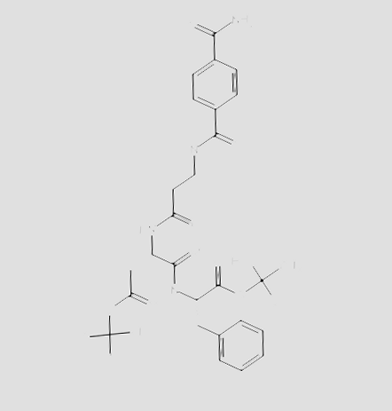 CC(C)(C)OC(=O)C[C@H](NC(=O)CCNC(=O)c1ccc(C(N)=S)cc1)C(=O)N[C@@H](Cc1ccccc1)C(=O)OC(C)(C)C